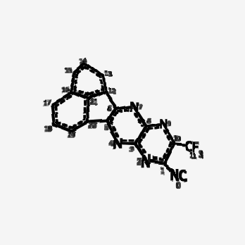 [C-]#[N+]c1nc2nc3c(nc2nc1C(F)(F)F)-c1cccc2cccc-3c12